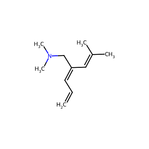 C=C/C=C(\C=C(C)C)CN(C)C